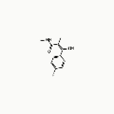 CNC(=O)/C(C)=C(/O)c1ccc(F)cc1